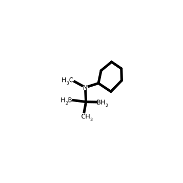 BC(B)(C)N(C)C1CCCCC1